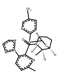 Cc1ccc(-n2nccn2)c(C(=O)N2[C@H](C)[C@@H]3CC[C@H]2[C@H](Oc2ccc(C(F)(F)F)cn2)C3)n1